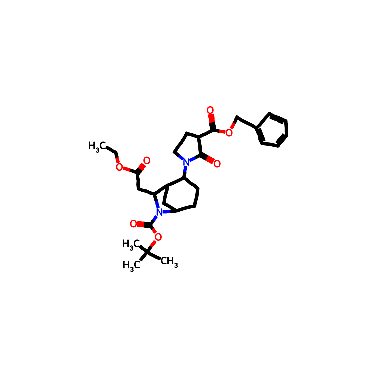 CCOC(=O)CC1C2CC(CCC2N2CCC(C(=O)OCc3ccccc3)C2=O)N1C(=O)OC(C)(C)C